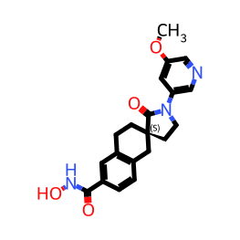 COc1cncc(N2CC[C@@]3(CCc4cc(C(=O)NO)ccc4C3)C2=O)c1